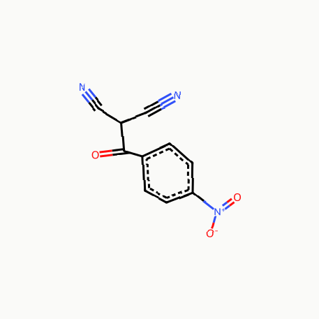 N#CC(C#N)C(=O)c1ccc([N+](=O)[O-])cc1